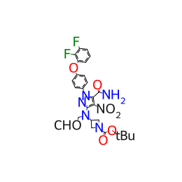 CC(C)(C)OC(=O)N1CC(N(CC=O)c2nn(-c3ccc(Oc4cccc(F)c4F)cc3)c(C(N)=O)c2[N+](=O)[O-])C1